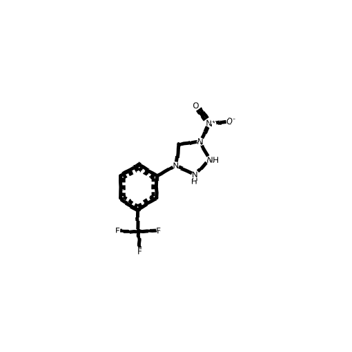 O=[N+]([O-])N1CN(c2[c]ccc(C(F)(F)F)c2)NN1